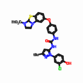 CCOC(=O)N1C=CN2c3cc(Oc4ccc(NC(=O)Nc5cc(C(C)(C)C)nn5-c5ccc(O)c(Cl)c5)cc4)ccc3SC12